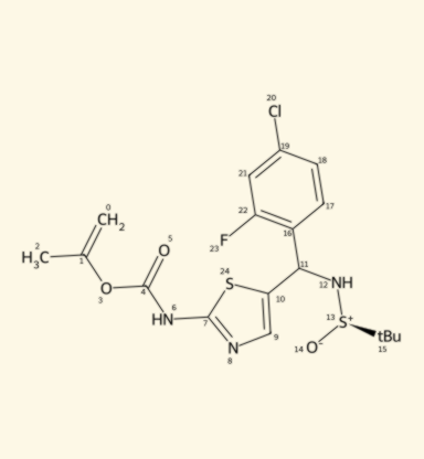 C=C(C)OC(=O)Nc1ncc(C(N[S@+]([O-])C(C)(C)C)c2ccc(Cl)cc2F)s1